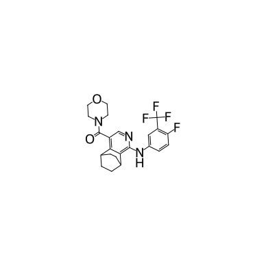 O=C(c1cnc(Nc2ccc(F)c(C(F)(F)F)c2)c2c1C1CCC2CC1)N1CCOCC1